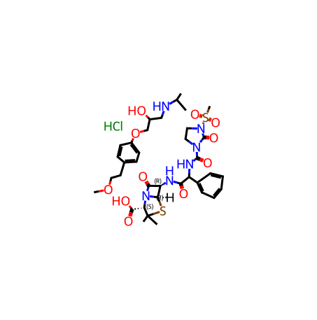 CC1(C)S[C@@H]2[C@H](NC(=O)C(NC(=O)N3CCN(S(C)(=O)=O)C3=O)c3ccccc3)C(=O)N2[C@H]1C(=O)O.COCCc1ccc(OCC(O)CNC(C)C)cc1.Cl